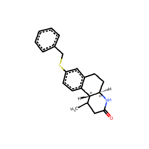 CC1CC(=O)N[C@@H]2CCc3cc(SCc4ccccc4)ccc3[C@@H]12